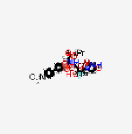 CC(C)OC(=O)[C@H](C)NP(=O)(O/C=C1/O[C@@H](n2ccc(=O)[nH]c2=O)[C@](C)(F)[C@@H]1O)Oc1ccc(-c2ccc([N+](=O)[O-])cc2)cc1